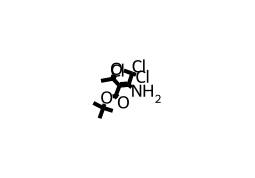 CC(=O)/C(C(=O)OC(C)(C)C)=C(/N)C(Cl)(Cl)Cl